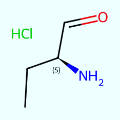 CC[C@H](N)C=O.Cl